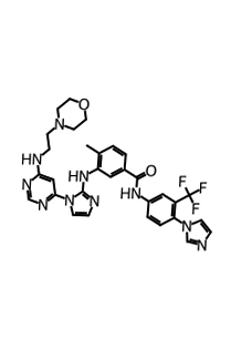 Cc1ccc(C(=O)Nc2ccc(-n3ccnc3)c(C(F)(F)F)c2)cc1Nc1nccn1-c1cc(NCCN2CCOCC2)ncn1